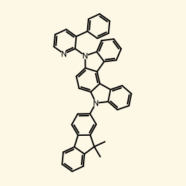 CC1(C)c2ccccc2-c2ccc(-n3c4ccccc4c4c5c6ccccc6n(-c6ncccc6-c6ccccc6)c5ccc43)cc21